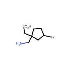 CC(C)C1CCC(CN)(CC(=O)O)C1